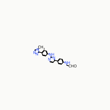 Cn1cnnc1-c1ccc(Nc2nccc(-c3ccc(NCC=O)cc3)n2)cc1